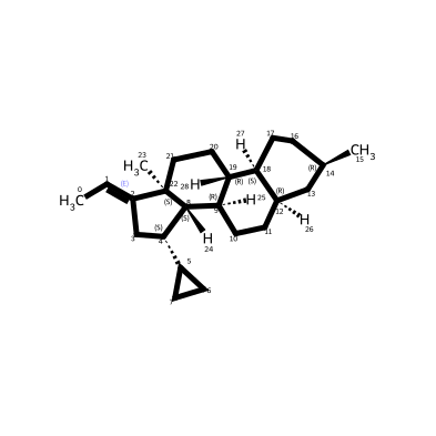 C/C=C1\C[C@@H](C2CC2)[C@H]2[C@@H]3CC[C@@H]4C[C@H](C)CC[C@@H]4[C@H]3CC[C@]12C